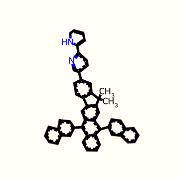 CC1(C)c2cc(-c3ccc(C4=CC=CCN4)nc3)ccc2-c2cc3c(-c4ccc5ccccc5c4)c4ccccc4c(-c4ccc5ccccc5c4)c3cc21